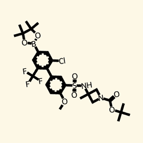 COc1ccc(-c2c(Cl)cc(B3OC(C)(C)C(C)(C)O3)cc2C(F)(F)F)cc1S(=O)(=O)NC1(C)CN(C(=O)OC(C)(C)C)C1